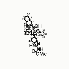 COC(=O)Nc1nc2cc(S(=O)(=O)N(C[C@@H](O)[C@H](Cc3ccccc3)NC(=O)OC(C)(C)C)OC3CCCC3)ccc2[nH]1